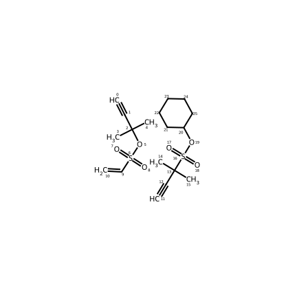 C#CC(C)(C)OS(=O)(=O)C=C.C#CC(C)(C)S(=O)(=O)OC1CCCCC1